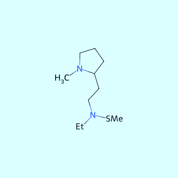 CCN(CCC1CCCN1C)SC